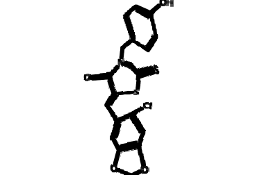 O=C1C(=Cc2cc3c(cc2Cl)OCO3)SC(=S)N1Cc1ccc(O)cc1